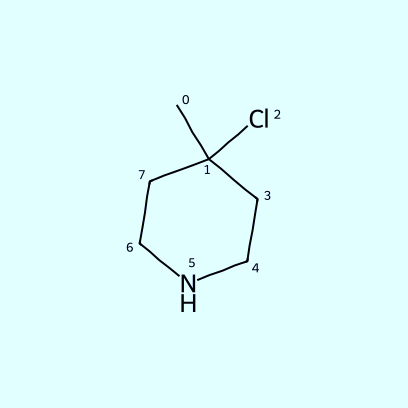 CC1(Cl)CCNCC1